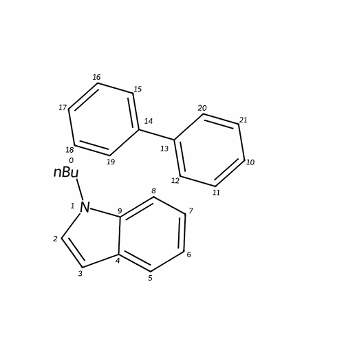 CCCCn1ccc2ccccc21.c1ccc(-c2ccccc2)cc1